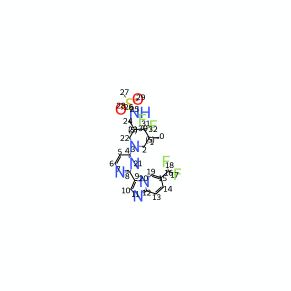 C[C@H]1CN(c2ccnc(-c3cnc4ccc(C(F)F)cn34)n2)C[C@@H](CNS(C)(=O)=O)C1(F)F